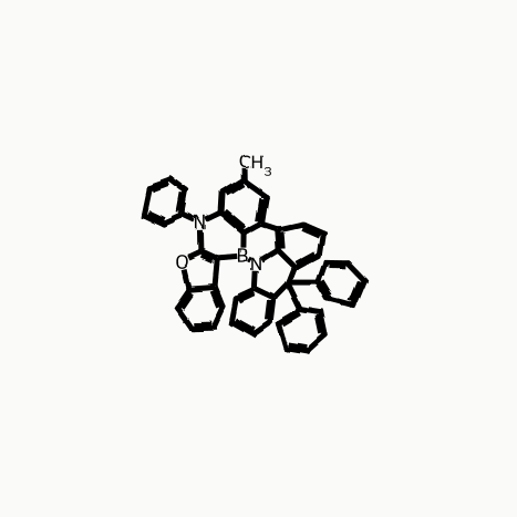 Cc1cc2c3c(c1)N(c1ccccc1)c1oc4ccccc4c1B3N1c3ccccc3C(c3ccccc3)(c3ccccc3)c3cccc-2c31